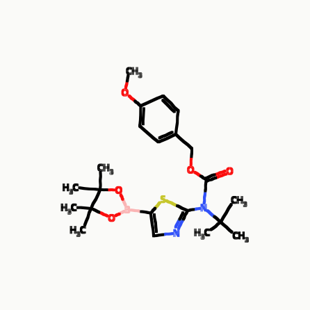 COc1ccc(COC(=O)N(c2ncc(B3OC(C)(C)C(C)(C)O3)s2)C(C)(C)C)cc1